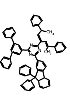 C/C(=C\C(=C/C(C)c1ccccc1)c1nc(-c2cc(-c3ccccc3)cc(-c3ccccc3)c2)nc(-c2ccc3c(c2)C(c2ccccc2)(c2ccccc2)C2C=CC=CC32)n1)c1ccccc1